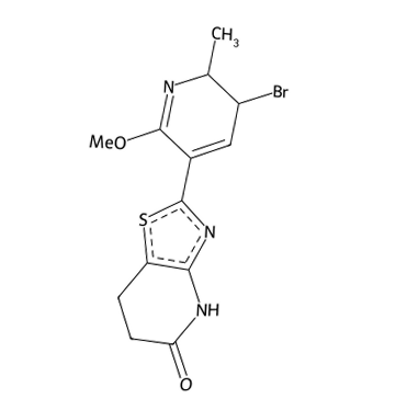 COC1=NC(C)C(Br)C=C1c1nc2c(s1)CCC(=O)N2